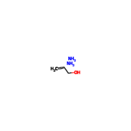 C=CCO.N.N